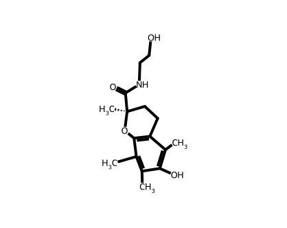 Cc1c(C)c2c(c(C)c1O)CC[C@](C)(C(=O)NCCO)O2